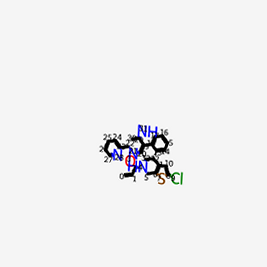 C=CC(=O)N1Cc2sc(Cl)cc2[C@@H](c2ccccc2/C(=C/NCc2ccccn2)C(C)=N)C1